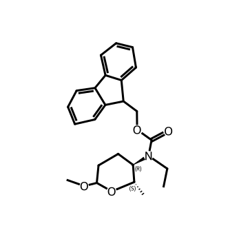 CCN(C(=O)OCC1c2ccccc2-c2ccccc21)[C@@H]1CCC(OC)O[C@H]1C